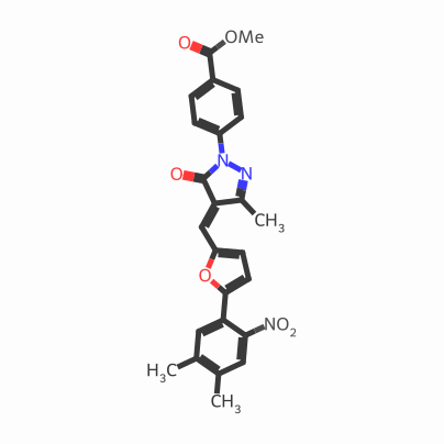 COC(=O)c1ccc(N2N=C(C)/C(=C\c3ccc(-c4cc(C)c(C)cc4[N+](=O)[O-])o3)C2=O)cc1